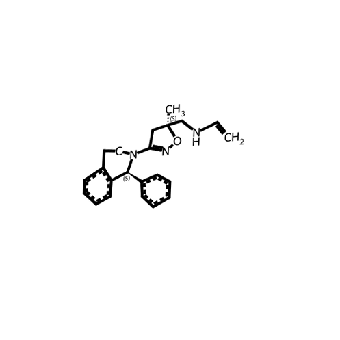 C=CNC[C@]1(C)CC(N2CCc3ccccc3[C@@H]2c2ccccc2)=NO1